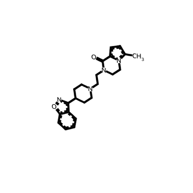 Cc1ccc2n1CCN(CCN1CCC(c3noc4ccccc34)CC1)C2=O